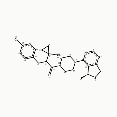 C[C@@H]1SCc2ncnc(N3CCN(C(=O)C(Cc4ccc(Cl)cc4)C4(N)CC4)CC3)c21